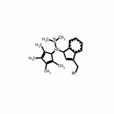 CC1=C(C)[CH]([Hf+]([CH]2C=C(CC(C)C)c3ccccc32)[SiH](C)C)C(C)=C1C